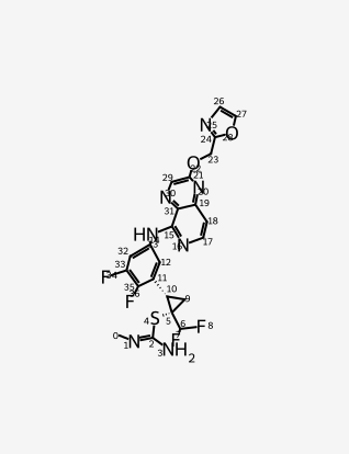 C/N=C(/N)S[C@@]1(C(F)F)C[C@H]1c1cc(Nc2nccc3nc(OCc4ncco4)cnc23)cc(F)c1F